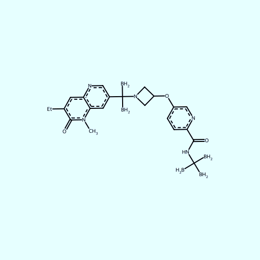 BC(B)(B)NC(=O)c1ccc(OC2CN(C(B)(B)c3cnc4cc(CC)c(=O)n(C)c4c3)C2)cn1